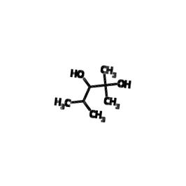 CC(C)C(O)C(C)(C)O